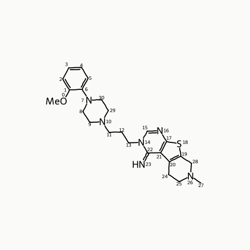 COc1ccccc1N1CCN(CCCn2cnc3sc4c(c3c2=N)CCN(C)C4)CC1